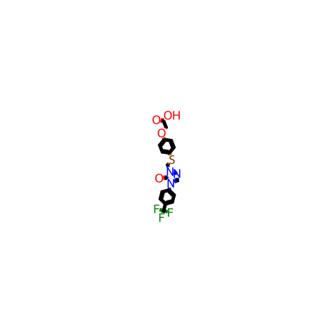 O=C(O)COc1ccc(SCn2ncn(-c3ccc(C(F)(F)F)cc3)c2=O)cc1